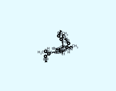 CCN(CCCOc1ccc(-c2cccc(S(=O)(=O)C3CC3)c2)c2c1[nH]c1ncc(C)cc12)CC(OP(=O)(OC(CN(CC)CCCOc1ccc(-c2cccc(S(=O)(=O)C3CC3)c2)c2c1[nH]c1ncc(C)cc12)(C(C)(C)C)C(C)(C)C)OC(CN(CC)CCCOc1ccc(-c2cccc(S(=O)(=O)C3CC3)c2)c2c1[nH]c1ncc(C)cc12)(C(C)(C)C)C(C)(C)C)(C(C)(C)C)C(C)(C)C